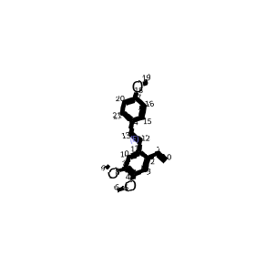 C=Cc1cc(OC)c(OC)cc1/C=C/c1ccc(OC)cc1